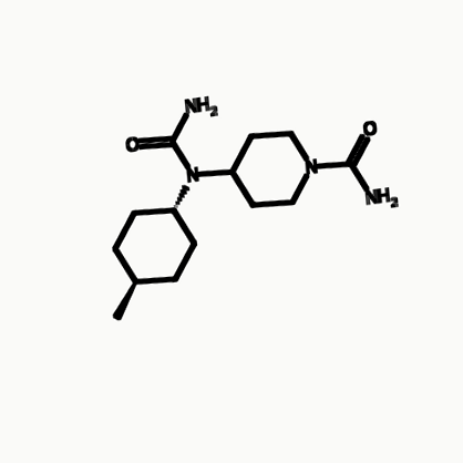 C[C@H]1CC[C@H](N(C(N)=O)C2CCN(C(N)=O)CC2)CC1